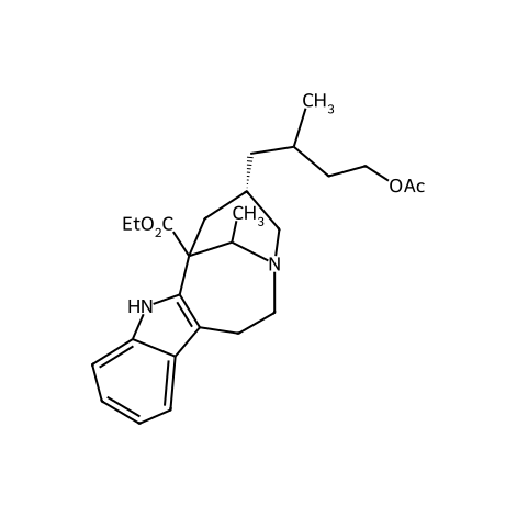 CCOC(=O)C12C[C@H](CC(C)CCOC(C)=O)CN(CCc3c1[nH]c1ccccc31)C2C